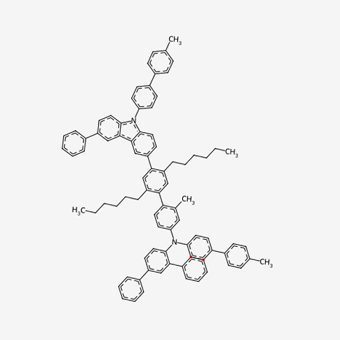 CCCCCCc1cc(-c2ccc(N(c3ccc(-c4ccc(C)cc4)cc3)c3ccc(-c4ccccc4)cc3-c3ccccc3)cc2C)c(CCCCCC)cc1-c1ccc2c(c1)c1cc(-c3ccccc3)ccc1n2-c1ccc(-c2ccc(C)cc2)cc1